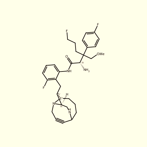 COCC(CCCF)(c1ccc(F)cc1)[C@H](N)C(=O)Nc1cccc(F)c1CC[C@H]1CNC2C#CCN1[S+]([O-])CCC2